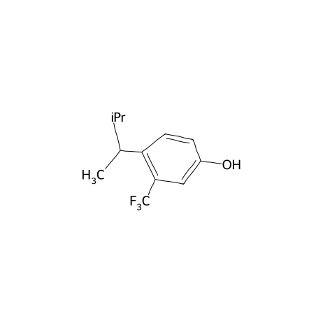 CC(C)C(C)c1ccc(O)cc1C(F)(F)F